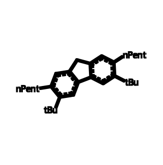 CCCCCc1cc2c(cc1C(C)(C)C)-c1cc(C(C)(C)C)c(CCCCC)cc1C2